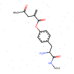 C=C(CC(=O)OC)C(=O)Oc1ccc(CC(N)C(=O)NCCCCCCCC)cc1